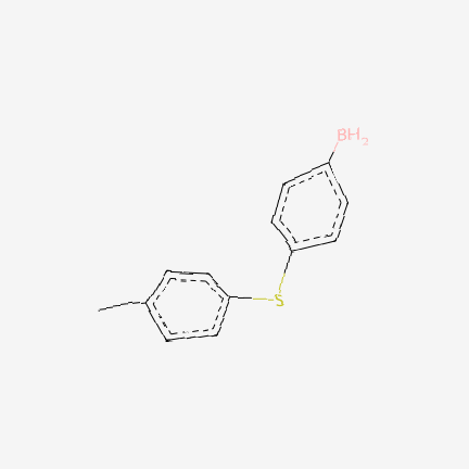 Bc1ccc(Sc2ccc(C)cc2)cc1